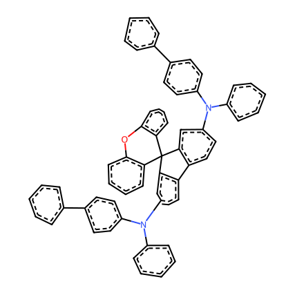 c1ccc(-c2ccc(N(c3ccccc3)c3ccc4c(c3)C3(c5ccccc5Oc5ccccc53)c3cc(N(c5ccccc5)c5ccc(-c6ccccc6)cc5)ccc3-4)cc2)cc1